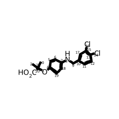 CC(C)(Oc1ccc(NCc2ccc(Cl)c(Cl)c2)cc1)C(=O)O